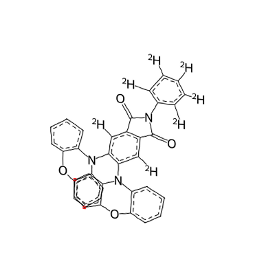 [2H]c1c([2H])c([2H])c(N2C(=O)c3c([2H])c(N4c5ccccc5Oc5ccccc54)c(N4c5ccccc5Oc5ccccc54)c([2H])c3C2=O)c([2H])c1[2H]